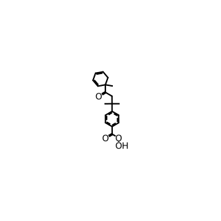 CC1(C(=O)CC(C)(C)c2ccc(C(=O)OO)cc2)C=CC=CC1